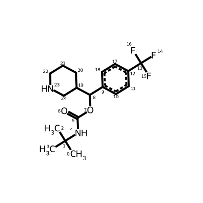 CC(C)(C)NC(=O)OC(c1ccc(C(F)(F)F)cc1)C1CCCNC1